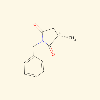 C[C@H]1CC(=O)N(Cc2ccccc2)C1=O